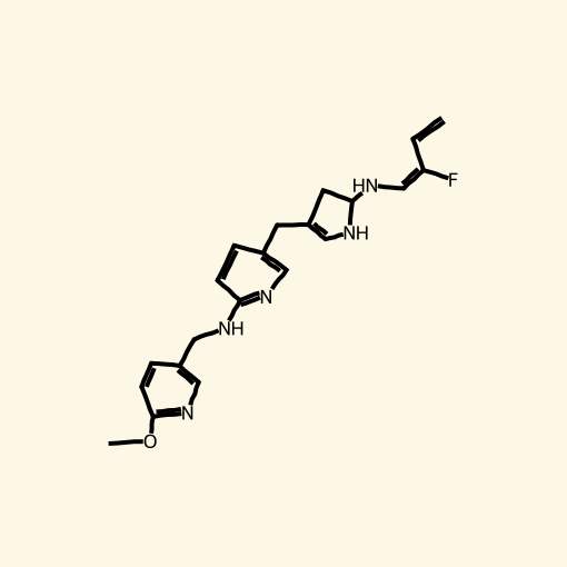 C=C/C(F)=C\NC1CC(Cc2ccc(NCc3ccc(OC)nc3)nc2)=CN1